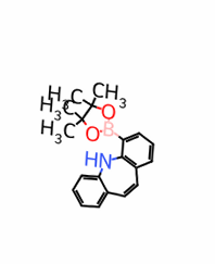 CC1(C)OB(c2cccc3c2Nc2ccccc2C=C3)OC1(C)C